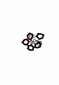 O=S(=O)([O][Sb]([c]1ccccc1)([c]1ccccc1)([c]1ccccc1)[c]1ccccc1)c1ccccc1C(F)(F)F